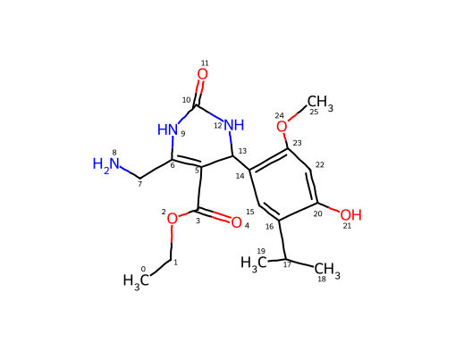 CCOC(=O)C1=C(CN)NC(=O)NC1c1cc(C(C)C)c(O)cc1OC